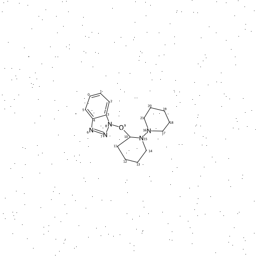 c1ccc2c(c1)nnn2OC1CCCCN1N1CCCCC1